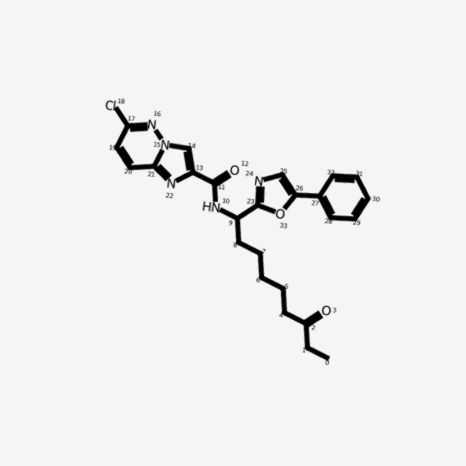 CCC(=O)CCCCCC(NC(=O)c1cn2nc(Cl)ccc2n1)c1ncc(-c2ccccc2)o1